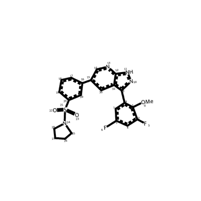 COc1c(F)cc(F)cc1-c1n[nH]c2ncc(-c3cccc(S(=O)(=O)N4CCCC4)c3)cc12